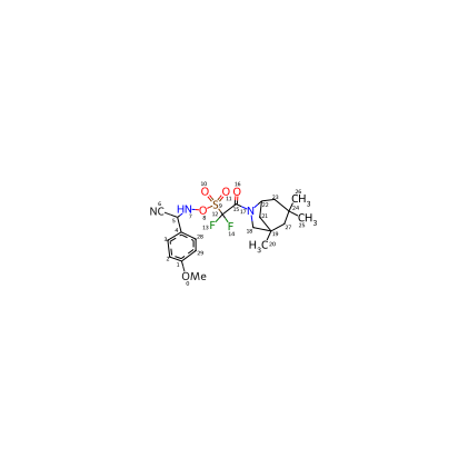 COc1ccc(C(C#N)NOS(=O)(=O)C(F)(F)C(=O)N2CC3(C)CC2CC(C)(C)C3)cc1